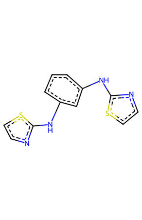 c1cc(Nc2nccs2)cc(Nc2nccs2)c1